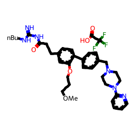 CCCCNC(=N)NC(=O)CCc1ccc(-c2ccc(CN3CCN(c4ccccn4)CC3)cc2)c(OCCCOC)c1.O=C(O)C(F)(F)F